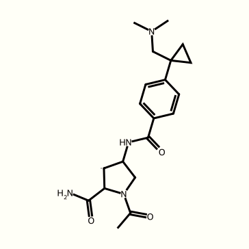 CC(=O)N1CC(NC(=O)c2ccc(C3(CN(C)C)CC3)cc2)[CH]C1C(N)=O